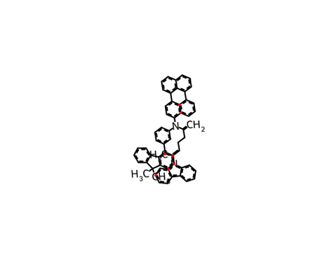 C=C(CC/C=C(\C)n1c2ccccc2c2ccccc21)N(c1ccc(-c2cccc3cccc(-c4ccccc4)c23)cc1)c1cccc(-c2cccc3c2-c2ccccc2C3(C)C)c1